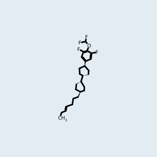 CC/C=C/CCC[C@H]1CC[C@H]([C@H]2CC[C@H](c3cc(F)c(OC(F)F)c(F)c3)CC2)CC1